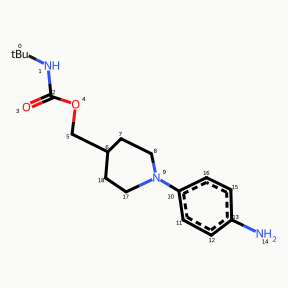 CC(C)(C)NC(=O)OCC1CCN(c2ccc(N)cc2)CC1